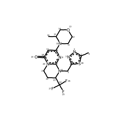 Cc1nnc(CN2c3nc(N4CCOCC4C)cc(=O)n3CCC2C(F)(F)F)s1